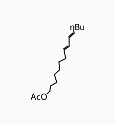 CCCCC=CC=CCCCCCCCOC(C)=O